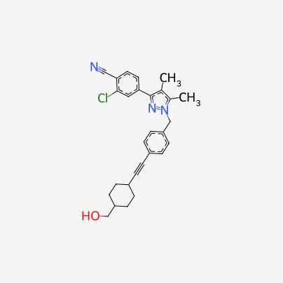 Cc1c(-c2ccc(C#N)c(Cl)c2)nn(Cc2ccc(C#CC3CCC(CO)CC3)cc2)c1C